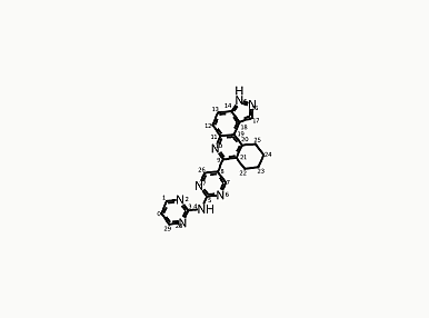 c1cnc(Nc2ncc(-c3nc4ccc5[nH]ncc5c4c4c3CCCC4)cn2)nc1